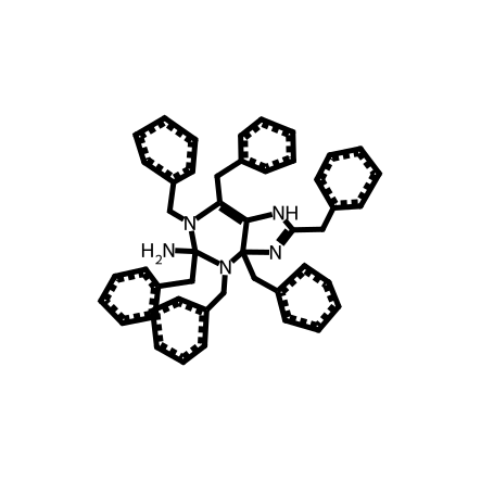 NC1(Cc2ccccc2)N(Cc2ccccc2)C(Cc2ccccc2)=C2NC(Cc3ccccc3)=NC2(Cc2ccccc2)N1Cc1ccccc1